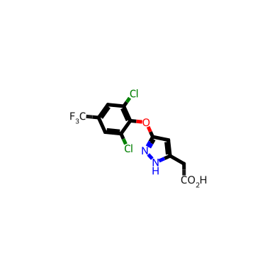 O=C(O)Cc1cc(Oc2c(Cl)cc(C(F)(F)F)cc2Cl)n[nH]1